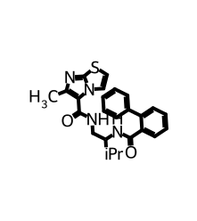 Cc1nc2sccn2c1C(=O)NCC(NC(=O)c1ccccc1-c1ccccc1)C(C)C